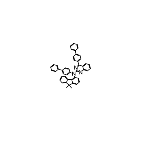 CC1(C)c2ccccc2-c2c(N(c3ccc(-c4ccccc4)cc3)c3nc(-c4ccc(-c5ccccc5)cc4)c4ccccc4n3)cccc21